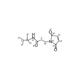 CC(C)C(C)(C)NC(=O)CCN1C(=O)C=CC1=O